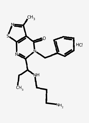 CCC(NCCCN)c1nc2snc(C)c2c(=O)n1Cc1ccccc1.Cl